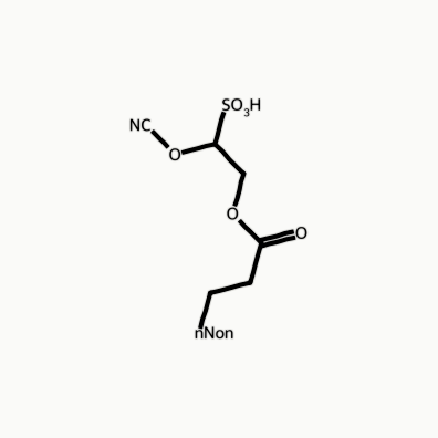 CCCCCCCCCCCC(=O)OCC(OC#N)S(=O)(=O)O